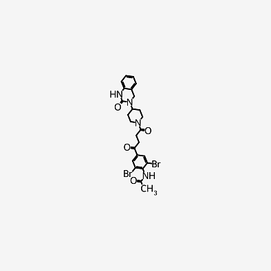 CC(=O)Nc1c(Br)cc(C(=O)CCC(=O)N2CCC(N3Cc4ccccc4NC3=O)CC2)cc1Br